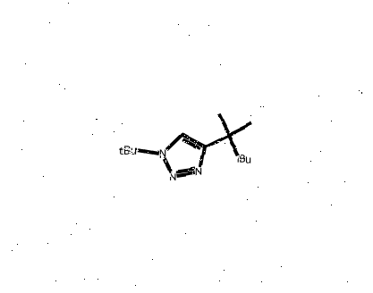 CCC(C)C(C)(C)c1cn(C(C)(C)C)nn1